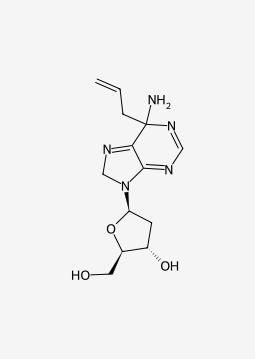 C=CCC1(N)N=CN=C2C1=NCN2[C@H]1C[C@H](O)[C@@H](CO)O1